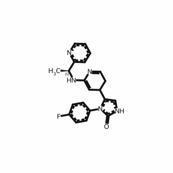 C[C@H](NC1=CC(c2c[nH]c(=O)n2-c2ccc(F)cc2)CC=N1)c1ccccn1